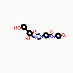 COc1ccc(NC(=O)c2ccc(N3CCN(Cc4c(OC)cc(-c5cccc(O)c5)cc4OC)CC3)cc2)cc1